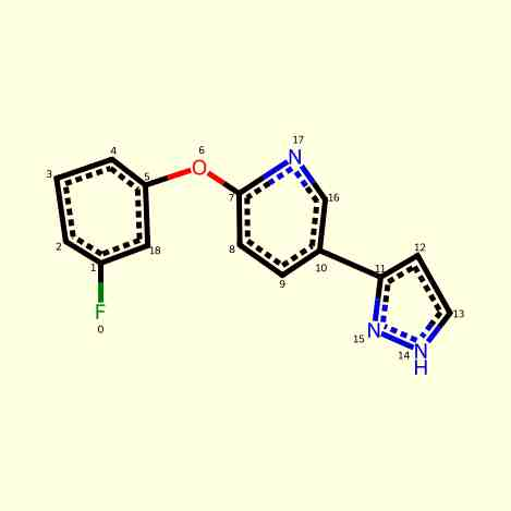 Fc1cccc(Oc2ccc(-c3cc[nH]n3)cn2)c1